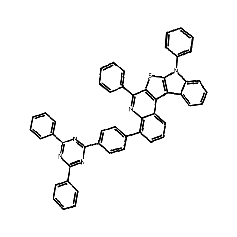 c1ccc(-c2nc(-c3ccccc3)nc(-c3ccc(-c4cccc5c4nc(-c4ccccc4)c4sc6c(c7ccccc7n6-c6ccccc6)c45)cc3)n2)cc1